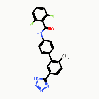 Cc1ccc(-c2nnn[nH]2)cc1-c1ccc(NC(=O)c2c(F)cccc2F)cc1